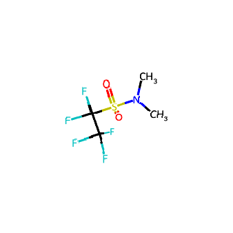 CN(C)S(=O)(=O)C(F)(F)C(F)(F)F